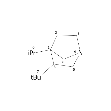 CC(C)C12CCN(CC1C(C)(C)C)C2